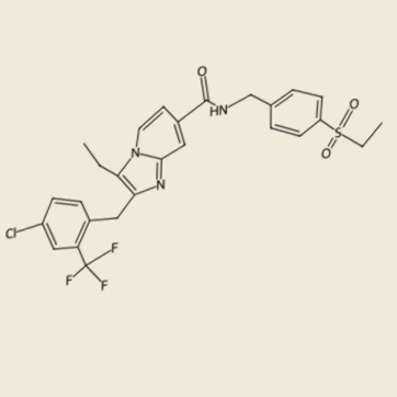 CCc1c(Cc2ccc(Cl)cc2C(F)(F)F)nc2cc(C(=O)NCc3ccc(S(=O)(=O)CC)cc3)ccn12